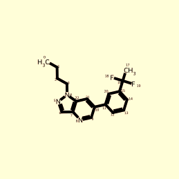 CCCCn1ncc2ncc(-c3cccc(C(C)(F)F)c3)cc21